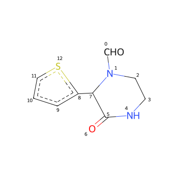 O=CN1CCNC(=O)C1c1cccs1